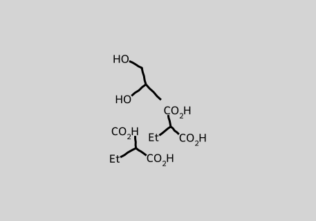 CC(O)CO.CCC(C(=O)O)C(=O)O.CCC(C(=O)O)C(=O)O